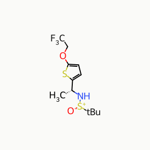 C[C@@H](N[S+]([O-])C(C)(C)C)c1ccc(OCC(F)(F)F)s1